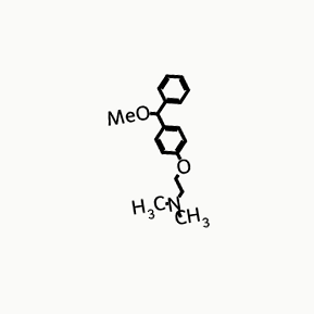 COC(c1ccccc1)c1ccc(OCCN(C)C)cc1